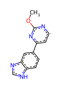 COc1n[c]cc(-c2ccc3[nH]cnc3c2)n1